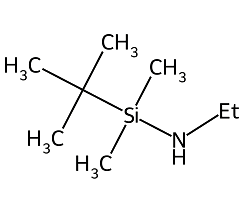 CCN[Si](C)(C)C(C)(C)C